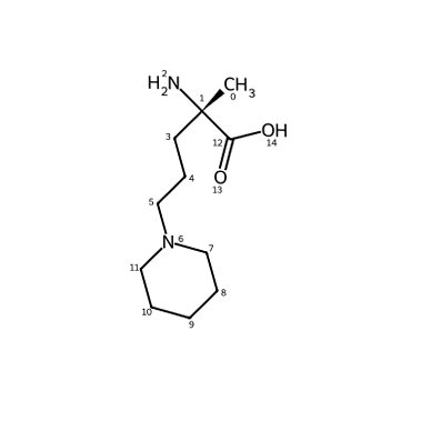 C[C@](N)(CCCN1CCCCC1)C(=O)O